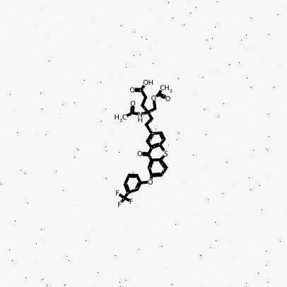 CC(=O)NC(CCC(=O)O)(CCc1ccc2sc3ccc(Oc4cccc(C(F)(F)F)c4)cc3c(=O)c2c1)COC(C)=O